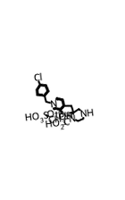 CC(C)(C)C1(Cc2ccn(Cc3ccc(Cl)cc3)c(=O)c2O)CNCCN1C(=O)O.CS(=O)(=O)O